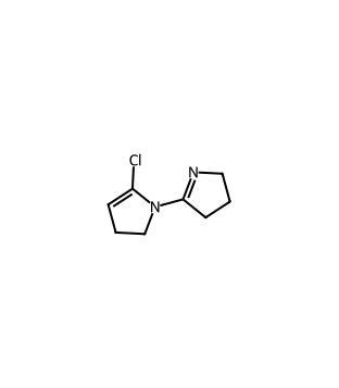 ClC1=CCCN1C1=NCCC1